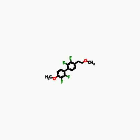 COCCc1ccc(-c2ccc(OC)c(F)c2F)c(F)c1F